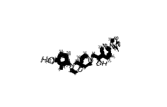 CC1=C(N2CCOC3(CCN(C[C@H](O)c4ccc(-n5cnnn5)nc4)CC3)C2)CCC1O